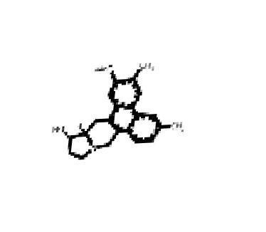 COc1cc2c3c(c4ccc(C)cc4c2cc1C)CN1CC[C@@H](O)[C@@H]1C3